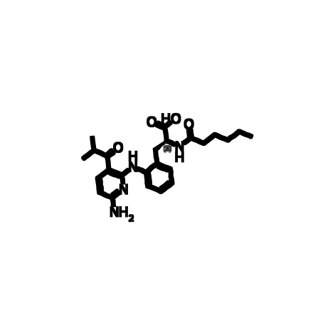 CCCCCC(=O)N[C@@H](Cc1ccccc1Nc1nc(N)ccc1C(=O)C(C)C)C(=O)O